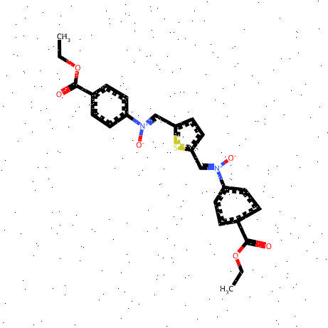 CCOC(=O)c1ccc(/[N+]([O-])=C/c2ccc(/C=[N+](\[O-])c3ccc(C(=O)OCC)cc3)s2)cc1